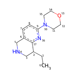 CCC1CNCc2ccc(N3CCOCC3)nc21